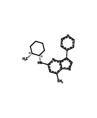 Cc1cc(N[C@H]2CCCC[C@H]2C)nn2c(-c3ccncc3)cnc12